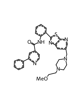 COCCN1CCN(Cc2cnc3sc(-c4ccccc4NC(=O)c4ccnc(-c5ccccc5)c4)nc3c2)CC1